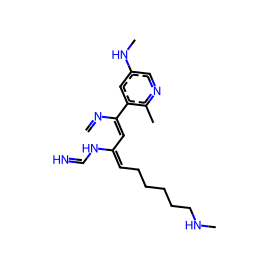 C=N/C(=C\C(=C/CCCCCNC)NC=N)c1cc(NC)cnc1C